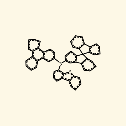 c1ccc2c(c1)-c1ccccc1C21c2ccccc2-c2cc(N(c3ccc4c5ccccc5c5ccccc5c4c3)c3cccc4c3sc3ccccc34)ccc21